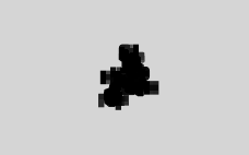 CCc1ccc2c(c1)C(NCC(O)C(Cc1cc(F)cc(F)c1)NC(=O)Cc1c[nH]cn1)CS(=O)(=O)C2